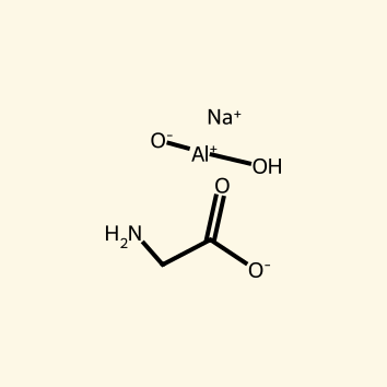 NCC(=O)[O-].[Na+].[O-][Al+][OH]